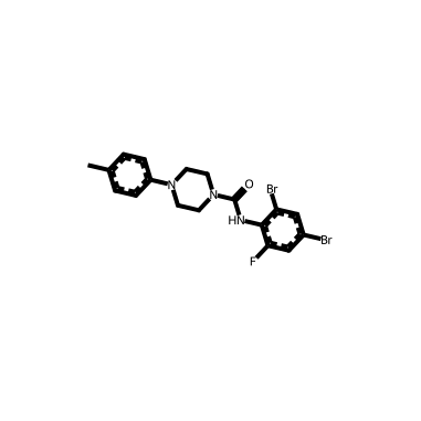 Cc1ccc(N2CCN(C(=O)Nc3c(F)cc(Br)cc3Br)CC2)cc1